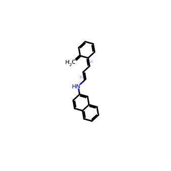 C=c1cccc/c1=C/C=C/Nc1ccc2ccccc2c1